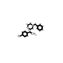 C=C(c1ccc(Cl)cc1)[C@H]1CN(Cc2ccccc2)CCO1